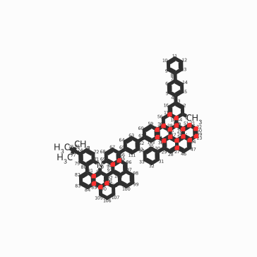 CC1C=C(c2ccc(-c3ccccc3)cc2)C=CC1N(c1ccccc1-c1ccc(-c2ccccc2)cc1)c1ccccc1-c1cccc2cccc(C3CCCC(c4ccc(-c5ccc(-c6ccc(N(c7ccc(C(C)(C)C)cc7-c7ccccc7)c7ccccc7-c7cccc8cccc(C9CCCCC9)c78)cc6)cc5)cc4)C3)c12